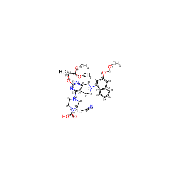 COCOc1cc(N2CCc3c(nc(O[C@H](C)C(OC)OC)nc3N3CCN(C(=O)O)[C@@H](CC#N)C3)C2)c2ccccc2c1